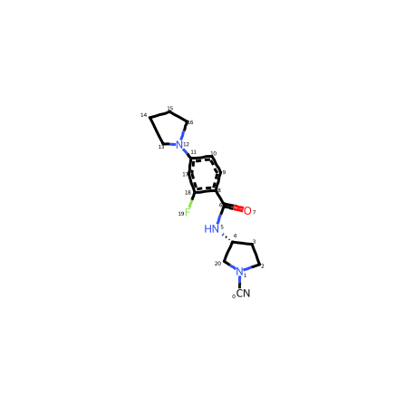 N#CN1CC[C@@H](NC(=O)c2ccc(N3CCCC3)cc2F)C1